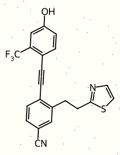 N#Cc1ccc(C#Cc2ccc(O)cc2C(F)(F)F)c(CCc2nccs2)c1